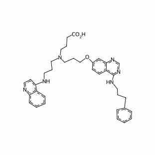 O=C(O)CCCN(CCCNc1ccnc2ccccc12)CCCOc1ccc2c(NCCCc3ccccc3)ncnc2c1